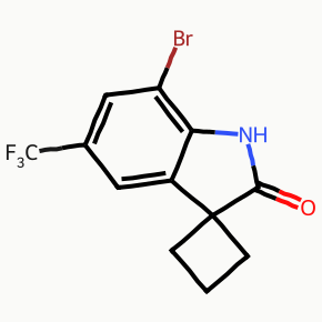 O=C1Nc2c(Br)cc(C(F)(F)F)cc2C12CCC2